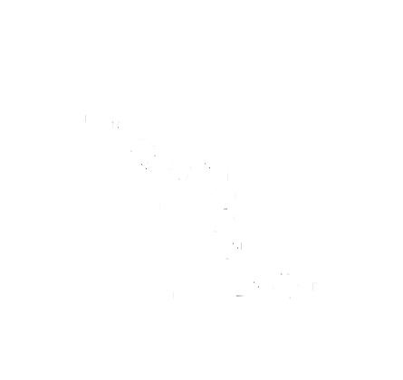 C=Nc1cc(-c2ccc(CN(C)CCOC)cn2)sc1/C(=C\C)Oc1ccc(NC(=O)C2=C(OCC)C=CN(c3ccc(F)cc3)C2O)cc1F